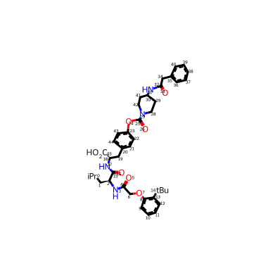 CC(C)C[C@H](NC(=O)COc1ccccc1C(C)(C)C)C(=O)N[C@@H](Cc1ccc(OC(=O)N2CCC(NC(=O)Cc3ccccc3)CC2)cc1)C(=O)O